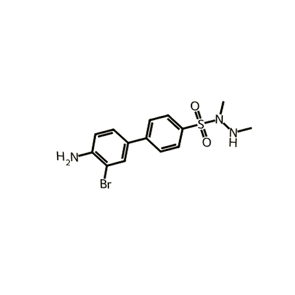 CNN(C)S(=O)(=O)c1ccc(-c2ccc(N)c(Br)c2)cc1